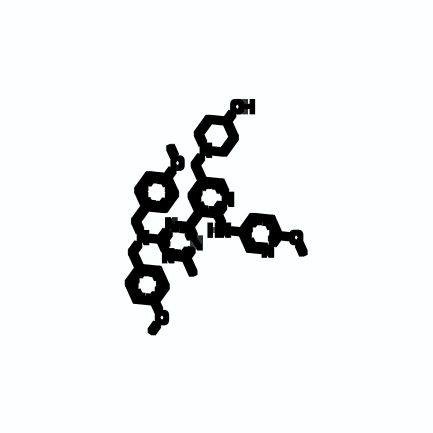 COc1ccc(CN(Cc2ccc(OC)cc2)c2nc(C)nc(-c3cc(CN4CCC(O)CC4)cnc3Nc3ccc(OC)nc3)n2)cc1